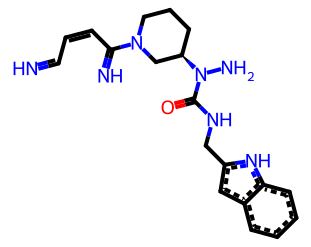 N=C/C=C\C(=N)N1CCC[C@@H](N(N)C(=O)NCc2cc3ccccc3[nH]2)C1